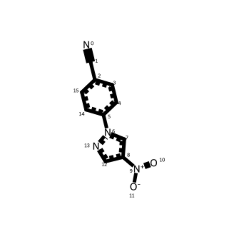 N#Cc1ccc(-n2cc([N+](=O)[O-])cn2)cc1